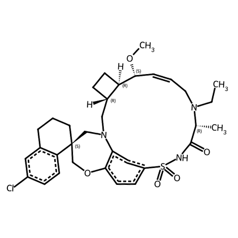 CCN1CC=C[C@@H](OC)[C@@H]2CC[C@H]2CN2C[C@@]3(CCCc4cc(Cl)ccc43)COc3ccc(cc32)S(=O)(=O)NC(=O)[C@H]1C